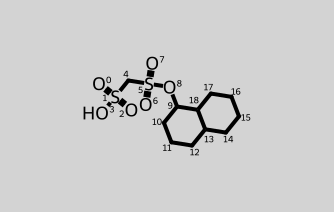 O=S(=O)(O)CS(=O)(=O)OC1CCCC2CCCCC21